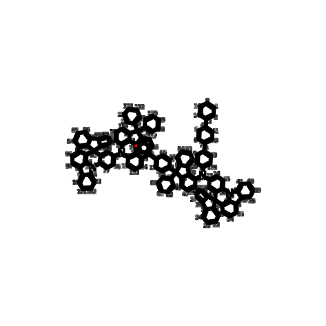 c1ccc(-c2ccc(-c3ccc(N(c4ccc5c(c4)C4(c6ccccc6-c6ccccc64)c4cccc6c7ccccc7n-5c46)c4cccc5c4-c4ccccc4C5(c4ccccc4)c4ccc(-c5cccc6c(N(c7ccc8c(c7)C7(c9ccccc9-c9ccccc97)c7cccc9c%10ccccc%10n-8c79)c7cccc8c7-c7ccccc7C8(c7ccccc7)c7ccccc7)cccc56)cc4)cc3)cc2)cc1